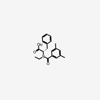 CCN(C(=O)c1cc(C)cc(C)c1)[C@@H](Cc1ccccc1)C(=O)O